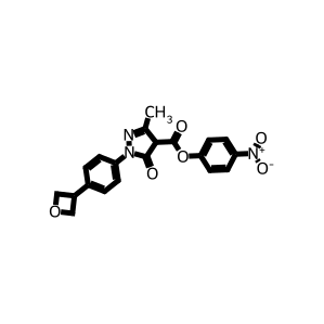 CC1=NN(c2ccc(C3COC3)cc2)C(=O)C1C(=O)Oc1ccc([N+](=O)[O-])cc1